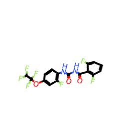 O=C(NC(=O)c1c(F)cccc1F)Nc1ccc(OC(F)(F)C(F)F)cc1F